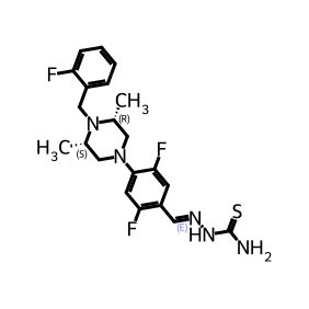 C[C@@H]1CN(c2cc(F)c(/C=N/NC(N)=S)cc2F)C[C@H](C)N1Cc1ccccc1F